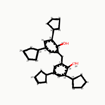 Oc1c(Cc2cc(C3CCCC3)cc(C3CCCC3)c2O)cc(C2CCCC2)cc1C1CCCC1